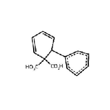 O=C(O)C1(C(=O)O)C=CC=CC1c1ccccc1